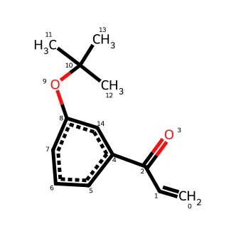 C=CC(=O)c1cccc(OC(C)(C)C)c1